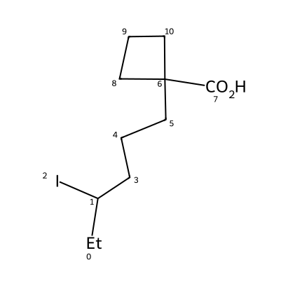 CCC(I)CCCC1(C(=O)O)CCC1